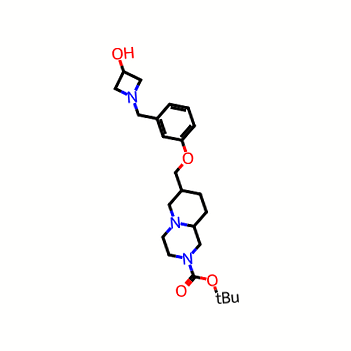 CC(C)(C)OC(=O)N1CCN2CC(COc3cccc(CN4CC(O)C4)c3)CCC2C1